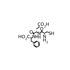 N[C@@H](CS)C(=O)N[C@@H](CCC(=O)O)C(=O)N[C@@H](Cc1ccccc1)C(=O)O